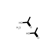 CC(=O)O.CC(=O)O.S